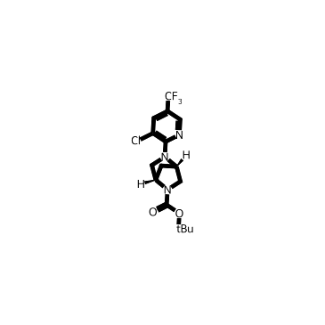 CC(C)(C)OC(=O)N1C[C@@H]2C[C@H]1CN2c1ncc(C(F)(F)F)cc1Cl